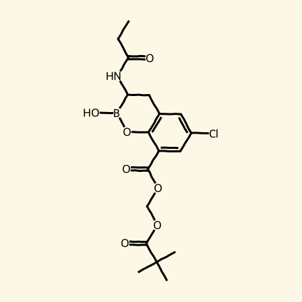 CCC(=O)NC1Cc2cc(Cl)cc(C(=O)OCOC(=O)C(C)(C)C)c2OB1O